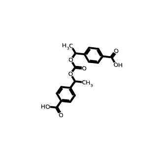 CC(OC(=O)OC(C)c1ccc(C(=O)O)cc1)c1ccc(C(=O)O)cc1